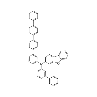 c1ccc(-c2ccc(-c3ccc(-c4cccc(N(c5cccc(-c6ccccc6)c5)c5ccc6c(c5)oc5ccccc56)c4)cc3)cc2)cc1